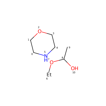 C1COCCN1.CCOC(C)O